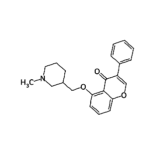 CN1CCCC(COc2cccc3occ(-c4ccccc4)c(=O)c23)C1